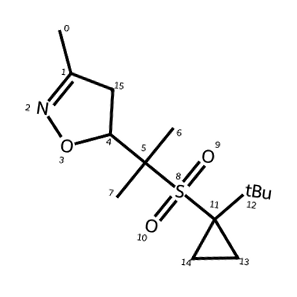 CC1=NOC(C(C)(C)S(=O)(=O)C2(C(C)(C)C)CC2)C1